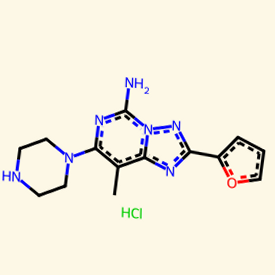 Cc1c(N2CCNCC2)nc(N)n2nc(-c3ccco3)nc12.Cl